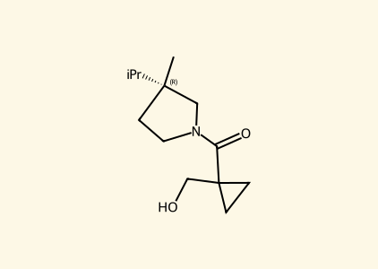 CC(C)[C@@]1(C)CCN(C(=O)C2(CO)CC2)C1